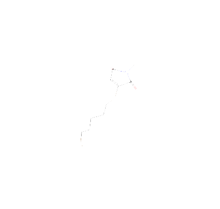 CN1C(=O)C=C(SCCCCCS)C1=O